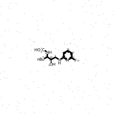 CCCCC(NC(=O)O)[C@H](O)CNc1cccc(F)n1